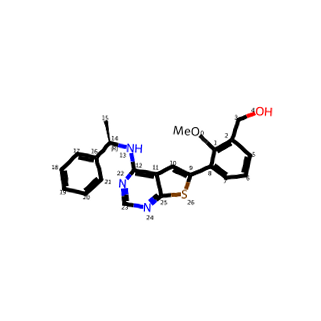 COc1c(CO)cccc1-c1cc2c(N[C@H](C)c3ccccc3)ncnc2s1